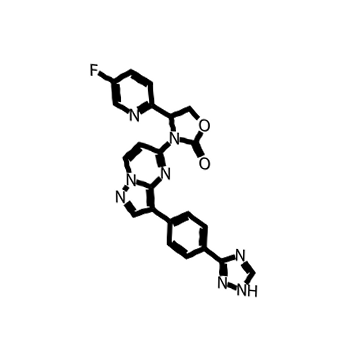 O=C1OCC(c2ccc(F)cn2)N1c1ccn2ncc(-c3ccc(-c4nc[nH]n4)cc3)c2n1